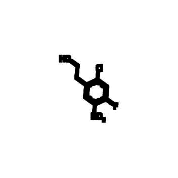 O=[N+]([O-])c1cc(CCO)c(Cl)cc1F